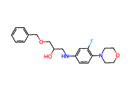 OC(CNc1ccc(N2CCOCC2)c(F)c1)COCc1ccccc1